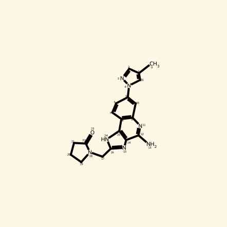 Cc1cnn(-c2ccc3c(c2)nc(N)c2nc(CN4CCCC4=O)[nH]c23)c1